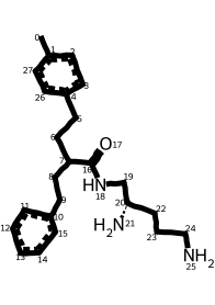 Cc1ccc(CCC(CCc2ccccc2)C(=O)NC[C@@H](N)CCCN)cc1